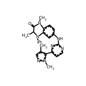 Cc1cnn(C)c1-c1ccnc(Nc2ccc3c(c2)N(C(C)C)C(C)C(=O)N3C)n1